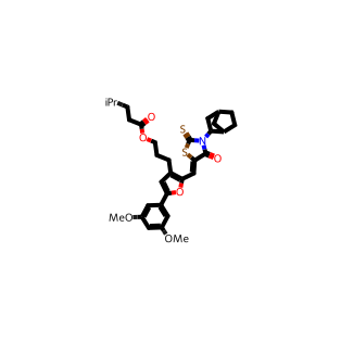 COc1cc(OC)cc(-c2cc(CCCOC(=O)CCC(C)C)c(/C=C3\SC(=S)N(C4CC5CCC4C5)C3=O)o2)c1